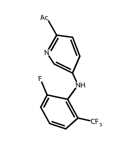 CC(=O)c1ccc(Nc2c(F)cccc2C(F)(F)F)cn1